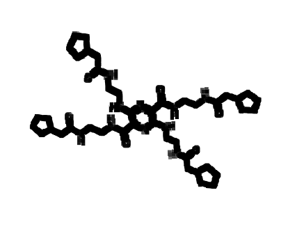 O=C(CC1CCCC1)NCCNC(=O)c1nc(NCCNC(=O)CC2CCCC2)c(C(=O)NCCNC(=O)CC2CCCC2)nc1NCCNC(=O)CC1CCCC1